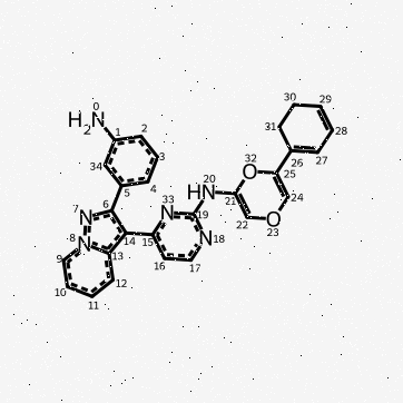 Nc1cccc(-c2nn3ccccc3c2-c2ccnc(NC3=COC=C(C4=CC=CCC4)O3)n2)c1